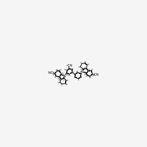 N#Cc1cc(-c2cccc(-n3c4c(c5cc(C#N)ccc53)C=CCC4)c2)cc(-n2c3c(c4cc(C#N)ccc42)CCC=C3)c1